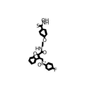 O=C(NCCOc1ccc(C(=S)NO)cc1)c1oc2ccccc2c1C[S+]([O-])c1ccc(F)cc1